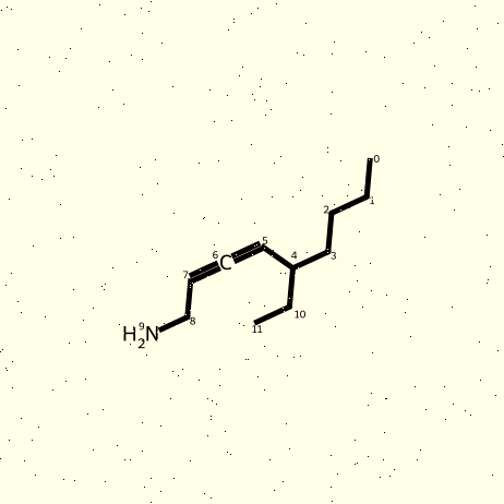 CCCCC(C=C=CCN)CC